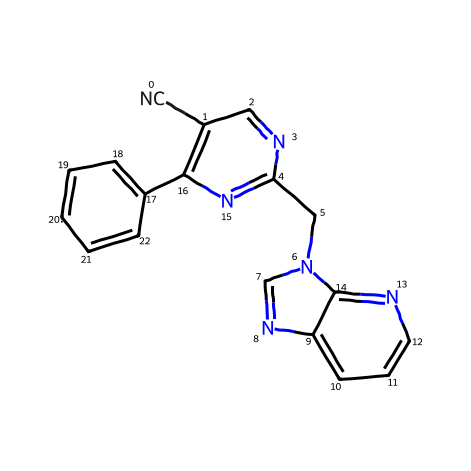 N#Cc1cnc(Cn2cnc3cccnc32)nc1-c1cc[c]cc1